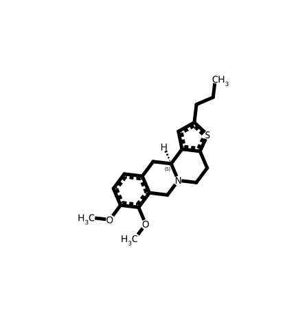 CCCc1cc2c(s1)CCN1Cc3c(ccc(OC)c3OC)C[C@@H]21